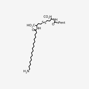 CCCCCC(=O)NC(CCSSCCC(NC(=O)CCCCCCCCCCCCCCCCCN)C(=O)O)C(=O)O